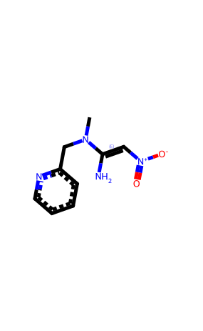 CN(Cc1ccccn1)/C(N)=C/[N+](=O)[O-]